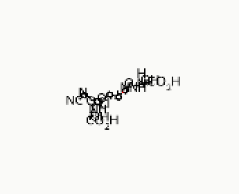 Cc1c(COc2cc(OCc3cncc(C#N)c3)c(CNC[C@@H](O)CC(=O)O)cc2Cl)cccc1-c1cccc(-c2ccc(C(=O)NCCNC[C@@H](O)CC(=O)O)nc2)c1C